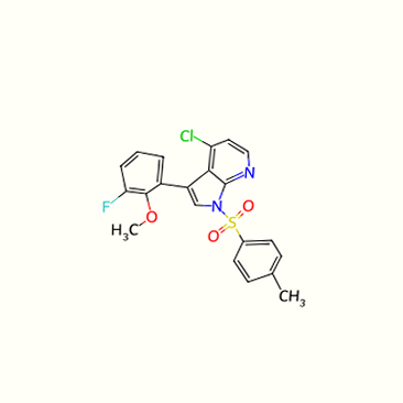 COc1c(F)cccc1-c1cn(S(=O)(=O)c2ccc(C)cc2)c2nccc(Cl)c12